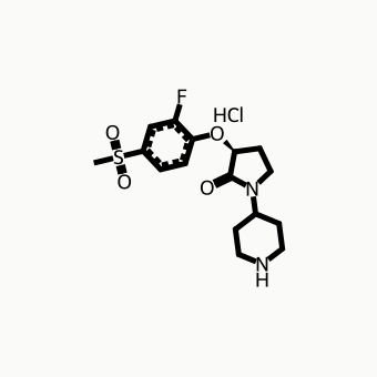 CS(=O)(=O)c1ccc(O[C@H]2CCN(C3CCNCC3)C2=O)c(F)c1.Cl